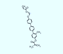 C=CC(=O)O/C=C\Oc1ccc(-c2ccc(-c3ccc(OC(=O)C(=C)C)cc3C)cc2)cc1